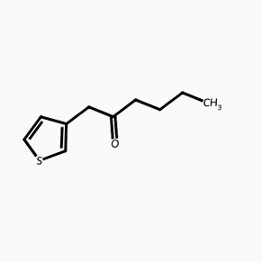 CCCCC(=O)Cc1ccsc1